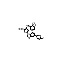 C[C@@H](Oc1cc(-n2cnc3cc(-c4ccc(F)nc4)ccc32)sc1C=O)c1ccccc1C(F)(F)F